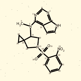 CN(c1ncnc2[nH]ccc12)C1CN(S(=O)(=O)c2ccccc2[N+](=O)[O-])CC12CC2